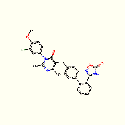 CCCc1nc(CC)n(-c2ccc(OC(C)C)c(F)c2)c(=O)c1Cc1ccc(-c2ccccc2-c2noc(=O)[nH]2)cc1